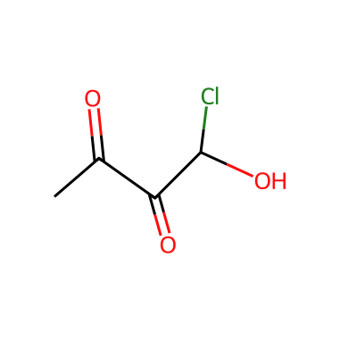 CC(=O)C(=O)C(O)Cl